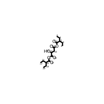 CCC(CC)C(=O)OC(=O)CC(O)C(=O)OC(=O)C(CC)CC